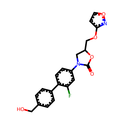 O=C1OC(COc2ccon2)CN1c1ccc(-c2ccc(CO)cc2)c(F)c1